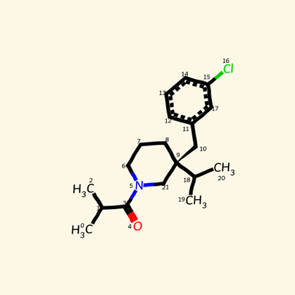 CC(C)C(=O)N1CCC[C@](Cc2cccc(Cl)c2)(C(C)C)C1